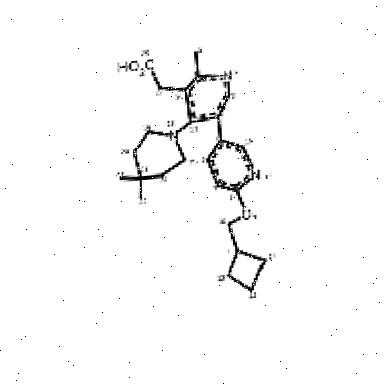 Cc1ncc(-c2ccc(OCC3CCC3)nc2)c(N2CCC(C)(C)CC2)c1CC(=O)O